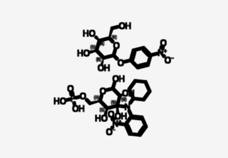 O=[N+]([O-])c1ccc(OC2O[C@H](CO)[C@H](O)[C@H](O)[C@H]2O)cc1.O=[N+]([O-])c1ccccc1N(C1CCCCC1)[C@@]1(O)[C@@H](O)C(O)O[C@H](COP(=O)(O)O)[C@@H]1O